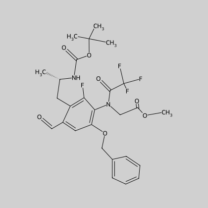 COC(=O)CN(C(=O)C(F)(F)F)c1c(OCc2ccccc2)cc(C=O)c(C[C@H](C)NC(=O)OC(C)(C)C)c1F